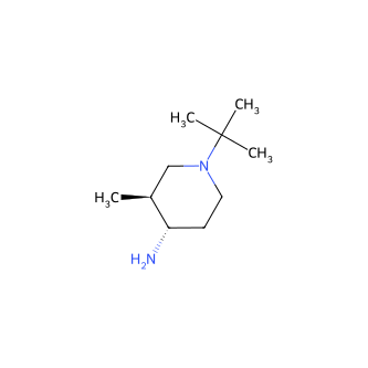 C[C@H]1CN(C(C)(C)C)CC[C@@H]1N